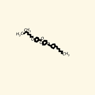 CCCCCCCC1CCC(COc2ccc(OC(=O)c3ccc(OCCCCCC(C)CC)cc3)cc2)CC1